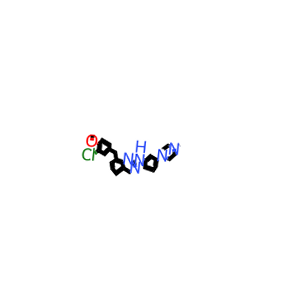 COc1ccc(Cc2cccc3cnc(Nc4cccc(N5CCN(C)CC5)c4)nc23)cc1Cl